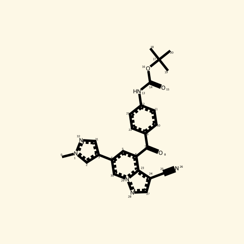 Cn1cc(-c2cc(C(=O)c3ccc(NC(=O)OC(C)(C)C)cc3)c3c(C#N)cnn3c2)cn1